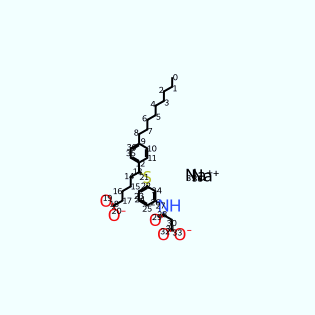 CCCCCCCCCc1ccc(C(CCCCC(=O)[O-])Sc2cccc(NC(=O)CC(=O)[O-])c2)cc1.[Na+].[Na+]